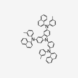 Cc1cccc(N(c2cccc(-n3c4ccc(N(c5cccc(C)c5)c5cccc6ccccc56)cc4c4cc(N(c5cccc(C)c5)c5cccc6ccccc56)ccc43)c2)c2cccc3ccccc23)c1